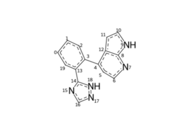 c1ccc(-c2ccnc3[nH]ccc23)c(-c2ncn[nH]2)c1